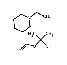 CC(C)(C)OC=O.CCN1CCCCC1